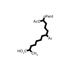 CCCCCC(CCCC(CCCCCC(C)C(=O)O)C(C)=O)OC(C)=O